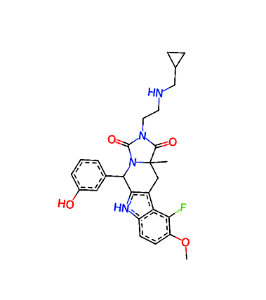 COc1ccc2[nH]c3c(c2c1F)CC1(C)C(=O)N(CCNCC2CC2)C(=O)N1C3c1cccc(O)c1